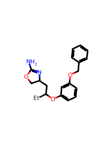 CCC(CC1COC(N)=N1)Oc1cccc(OCc2ccccc2)c1